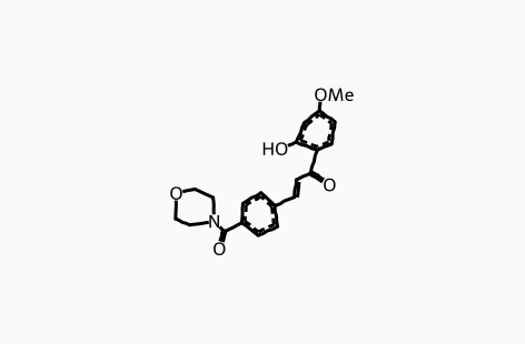 COc1ccc(C(=O)/C=C/c2ccc(C(=O)N3CCOCC3)cc2)c(O)c1